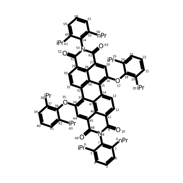 CCCc1cccc(C(C)C)c1N1C(=O)c2ccc3c4c(Oc5c(C(C)C)cccc5C(C)C)cc5c6c(ccc(c7c(Oc8c(C(C)C)cccc8C(C)C)cc(c2c37)C1=O)c64)C(=O)N(c1c(CCC)cccc1C(C)C)C5=O